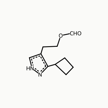 O=COCCc1c[nH]nc1C1CCC1